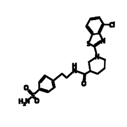 NS(=O)(=O)c1ccc(CCNC(=O)C2CCCN(c3nc4c(Cl)cccc4s3)C2)cc1